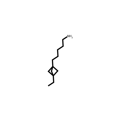 CCC12CC(CCCCCN)(C1)C2